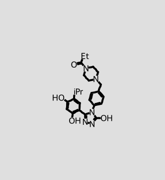 CCC(=O)N1CCN(Cc2ccc(-n3c(O)nnc3-c3cc(C(C)C)c(O)cc3O)cc2)CC1